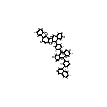 c1cc(-c2cccc3ccccc23)cc(-c2c3ccccc3c(-c3ccc(-c4c5ccccc5cc5c4oc4ccc6c7ccccc7oc6c45)cc3)c3ccccc23)c1